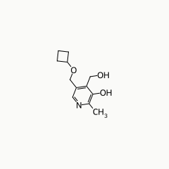 Cc1ncc(COC2CCC2)c(CO)c1O